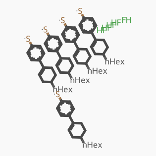 CCCCCCC1CC=C(c2ccc([S])cc2)CC1.CCCCCCC1CC=C(c2ccc([S])cc2)CC1.CCCCCCC1CC=C(c2ccc([S])cc2)CC1.CCCCCCC1CC=C(c2ccc([S])cc2)CC1.CCCCCCC1CC=C(c2ccc([S])cc2)CC1.F.F.F.F.F